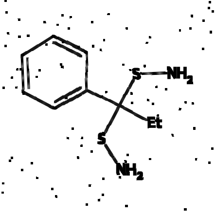 CCC(SN)(SN)c1ccccc1